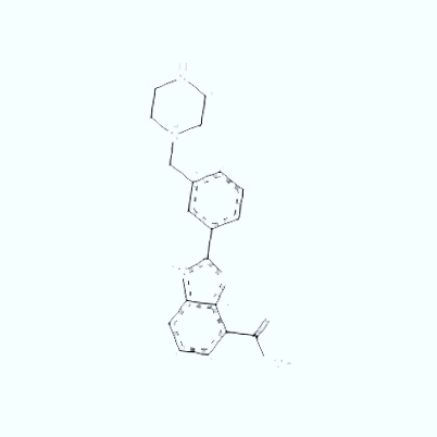 COC(=O)c1cccc2nc(-c3cccc(CN4CCNCC4)c3)oc12